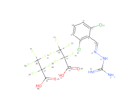 N=C(N)N/N=C/c1c(Cl)cccc1Cl.O=C(O)C(F)(F)C(F)(F)F.O=C(O)C(F)(F)C(F)(F)F